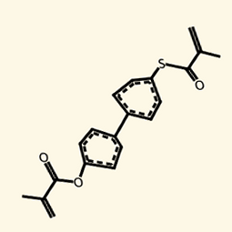 C=C(C)C(=O)Oc1ccc(-c2ccc(SC(=O)C(=C)C)cc2)cc1